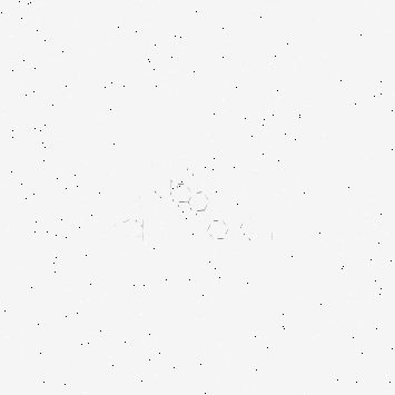 CNC(=O)c1cccc(-c2ccc3c(N4CCOC[C@@H]4C)nc(N4CCO[C@]5(CNC(=O)C5)C4)nc3n2)c1